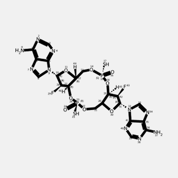 Nc1ncnc2c1ncn2[C@@H]1O[C@@H]2CO[P@](=O)(S)O[C@@H]3C(CO[P@@](=O)(S)O[C@H]2[C@H]1F)O[C@@H](n1cnc2c(N)ncnc21)[C@@H]3F